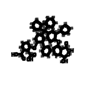 O=C(O)c1cccc(Oc2ccc(C3(c4ccc(Oc5cccc(C(=O)O)c5C(=O)O)c(-c5ccccc5)c4)c4ccccc4-c4ccccc43)cc2-c2ccccc2)c1C(=O)O